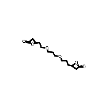 O=C1CC(CCCOCCCOCCC2CC(=O)O2)O1